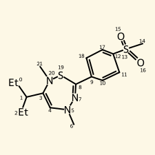 CCC(CC)c1cn(C)nc(-c2ccc(S(C)(=O)=O)cc2)sn1C